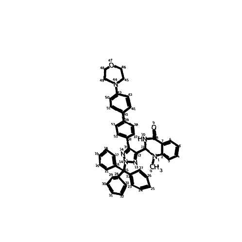 CN1c2ccccc2C(=O)NC1c1nn(C(c2ccccc2)(c2ccccc2)c2ccccc2)nc1-c1ccc(-c2ccc(N3CCOCC3)cc2)cc1